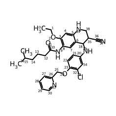 CCOc1cc2c(cc1NC(=O)CCCC(C)C)C(Nc1ccc(OCc3ccccn3)c(Cl)c1)C(C#N)CN2